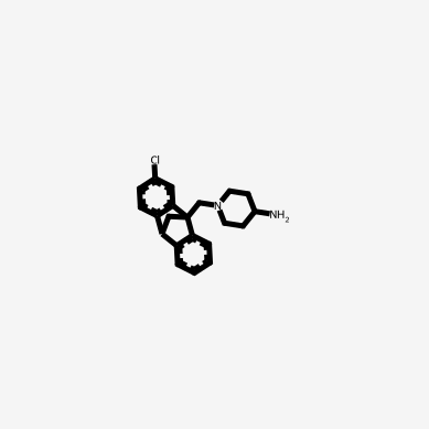 NC1CCN(CC23CC(c4ccccc42)c2ccc(Cl)cc23)CC1